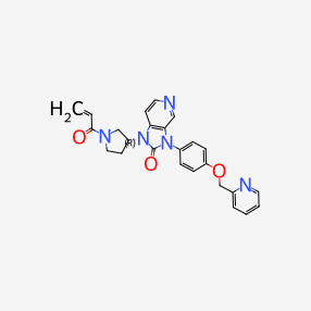 C=CC(=O)N1CC[C@@H](n2c(=O)n(-c3ccc(OCc4ccccn4)cc3)c3cnccc32)C1